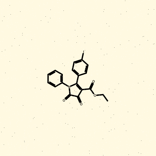 CCOC(=O)C1=C(c2ccc(I)cc2)N(c2ccccc2)C(=O)C1=O